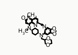 Cn1c(=O)cc(N(C)[C@H]2CC[C@@H](N(CC3COCCO3)c3ccc4c(c3)OCO4)CC2)c2nc(C#N)ccc21